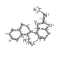 C/N=c1/oc2cc[n+](C)c(-c3ccc4ccccc4c3C)c2o1